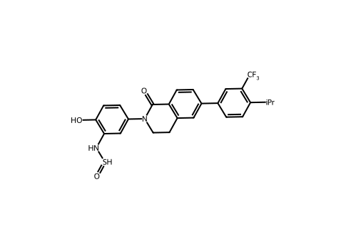 CC(C)c1ccc(-c2ccc3c(c2)CCN(c2ccc(O)c(N[SH]=O)c2)C3=O)cc1C(F)(F)F